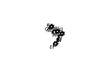 CCN1CCC(n2cc([C@H](Nc3cc(Cl)cc4c(Nc5ccc(F)c(Cl)c5)c(C#N)cnc34)c3ccccc3)nn2)CC1